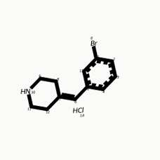 Brc1cccc(C=C2CCNCC2)c1.Cl